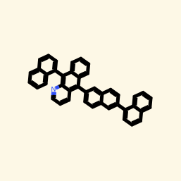 c1ccc2c(-c3ccc4cc(-c5c6ccccc6c(-c6cccc7ccccc67)c6ncccc56)ccc4c3)cccc2c1